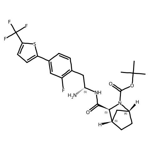 CC(C)(C)OC(=O)N1[C@@H]2CC[C@@H](C2)[C@H]1C(=O)N[C@H](N)Cc1ccc(-c2ccc(C(F)(F)F)s2)cc1F